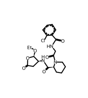 CCO[C@@H]1OC(=O)C[C@@H]1NC(=O)[C@@H]1CCCCN1C(=O)CNC(=O)c1ccccc1Cl